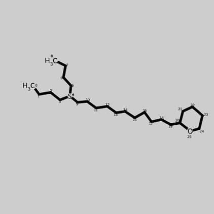 CCCC[S+](CCCC)CCCCCCCCCCCC1CCCCO1